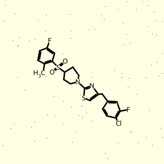 Cc1ccc(F)cc1S(=O)(=O)C1CCN(c2nc(Cc3ccc(Cl)c(F)c3)cs2)CC1